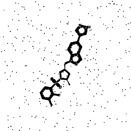 C[C@H]1C[C@@H](Cn2ncc3cc(-c4cn[nH]c4)ccc32)CN1S(=O)(=O)c1cccc(F)c1F